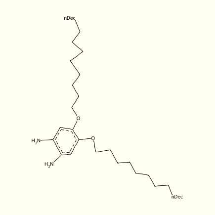 CCCCCCCCCCCCCCCCCCOc1cc(N)c(N)cc1OCCCCCCCCCCCCCCCCCC